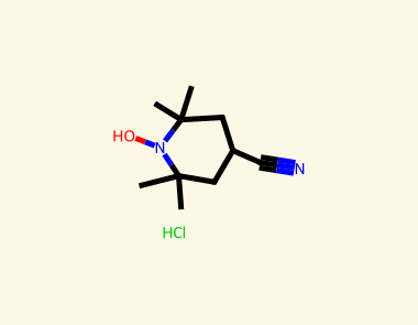 CC1(C)CC(C#N)CC(C)(C)N1O.Cl